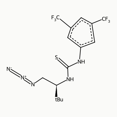 CC(C)(C)[C@@H](CN=[N+]=[N-])NC(=S)Nc1cc(C(F)(F)F)cc(C(F)(F)F)c1